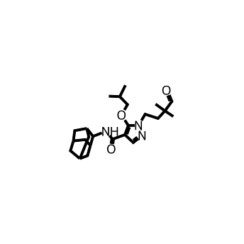 CC(C)COc1c(C(=O)NC2C3CC4CC(C3)CC2C4)cnn1CCC(C)(C)C=O